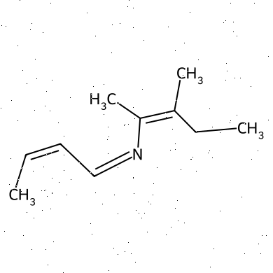 C\C=C/C=N\C(C)=C(\C)CC